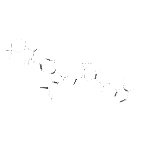 NC(=O)c1nn(CC(=O)N(CC(=O)NCc2cccc(Cl)c2F)C2CC2)c2ncc(NC(=O)N3CCCC(F)(F)C3)cc12